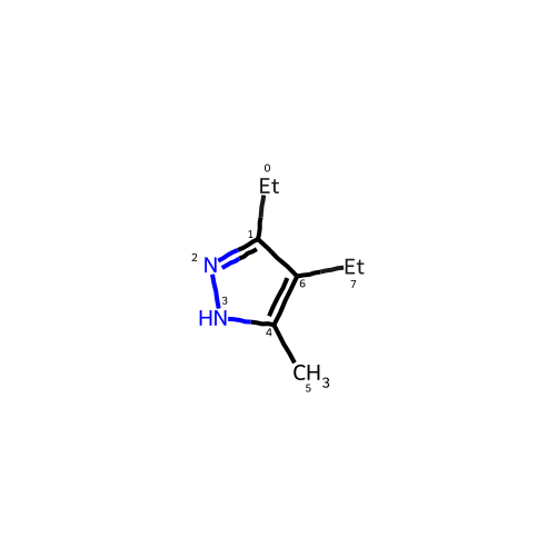 CCc1n[nH]c(C)c1CC